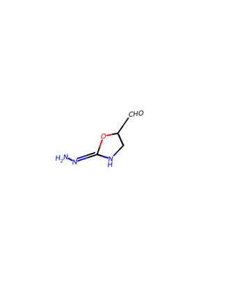 NN=C1NCC(C=O)O1